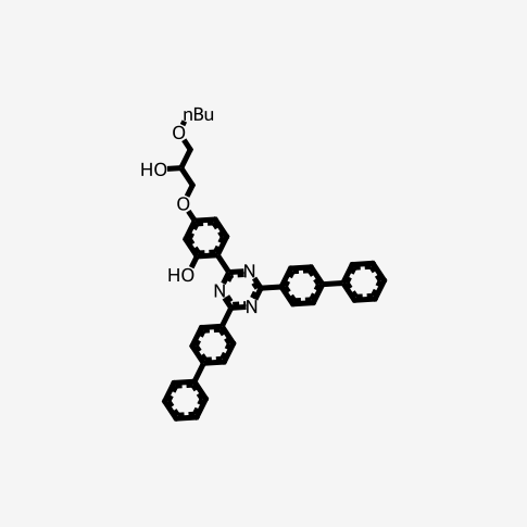 CCCCOCC(O)COc1ccc(-c2nc(-c3ccc(-c4ccccc4)cc3)nc(-c3ccc(-c4ccccc4)cc3)n2)c(O)c1